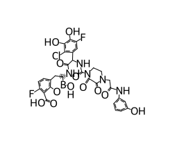 O=C(CN1CCN(C(=O)NC(C(=O)N[C@H]2Cc3ccc(F)c(C(=O)O)c3OB2O)c2cc(F)c(O)c(O)c2Cl)C(=O)C1=O)Nc1cccc(O)c1